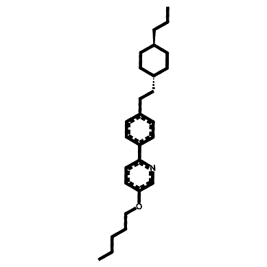 CCCCCOc1ccc(-c2ccc(CC[C@H]3CC[C@H](CCC)CC3)cc2)nc1